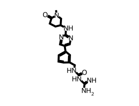 CN1CC(Nc2ncc(-c3cccc(CNC(=O)NC(=N)N)c3)cn2)CCC1=O